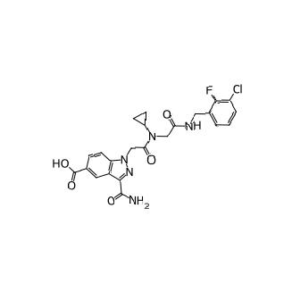 NC(=O)c1nn(CC(=O)N(CC(=O)NCc2cccc(Cl)c2F)C2CC2)c2ccc(C(=O)O)cc12